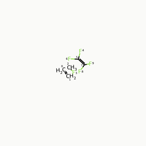 C=C.CF.FC(F)=C(F)F